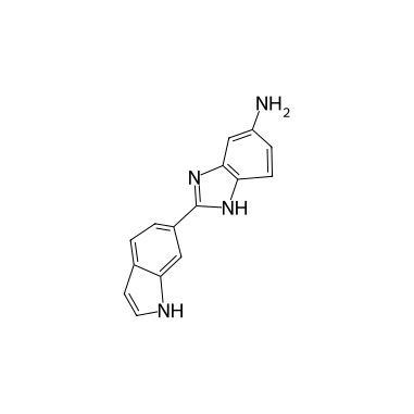 Nc1ccc2[nH]c(-c3ccc4cc[nH]c4c3)nc2c1